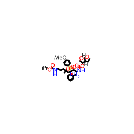 COc1ccc(S(=O)(=O)C(N)(CC(C)(C)CCCNC(=O)OC(C)C)[C@H](O)[C@H](Cc2ccccc2)NC(=O)O[C@H]2CO[C@H]3OCC[C@H]32)cc1